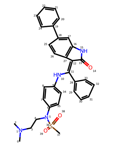 CN(C)CCN(c1ccc(N/C(=C2/C(=O)Nc3cc(-c4ccccc4)ccc32)c2ccccc2)cc1)S(C)(=O)=O